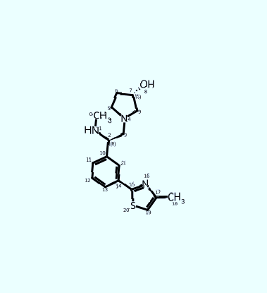 CN[C@@H](CN1CC[C@H](O)C1)c1cccc(-c2nc(C)cs2)c1